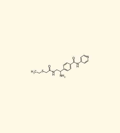 CCSCC(=O)NCC(N)c1ccc(C(=O)Nc2ccncc2)cc1